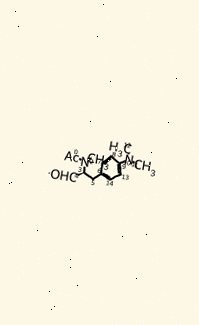 CC(=O)N(C)[C@H]([C]=O)Cc1ccc(N(C)C)cc1